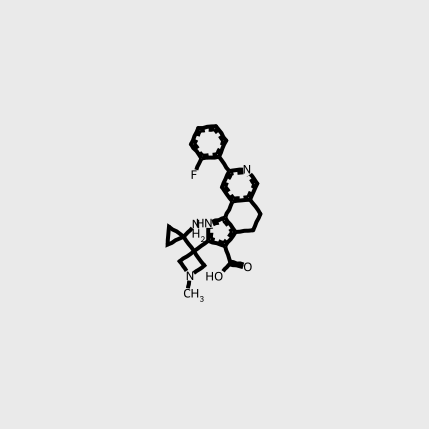 CN1CC(c2[nH]c3c(c2C(=O)O)CCc2cnc(-c4ccccc4F)cc2-3)(C2(N)CC2)C1